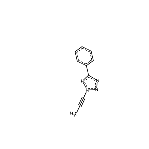 CC#Cn1nnc(-c2ccccc2)n1